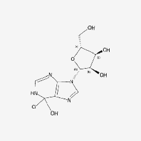 OC[C@H]1O[C@@H](n2cnc3c2N=CNC3(O)Cl)[C@H](O)[C@@H]1O